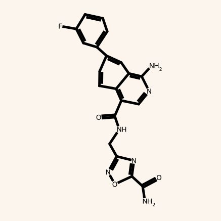 NC(=O)c1nc(CNC(=O)c2cnc(N)c3cc(-c4cccc(F)c4)ccc23)no1